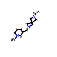 CC(C)N1CCCC(CN2CC3(C2)CN(C(C)C)C3)C1